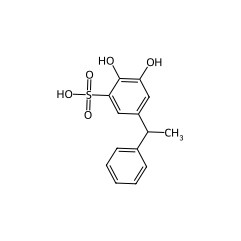 CC(c1ccccc1)c1cc(O)c(O)c(S(=O)(=O)O)c1